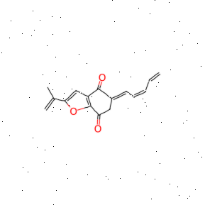 C=C/C=C\C=C1/CC(=O)c2oc(C(=C)C)cc2C1=O